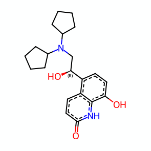 O=c1ccc2c([C@@H](O)CN(C3CCCC3)C3CCCC3)ccc(O)c2[nH]1